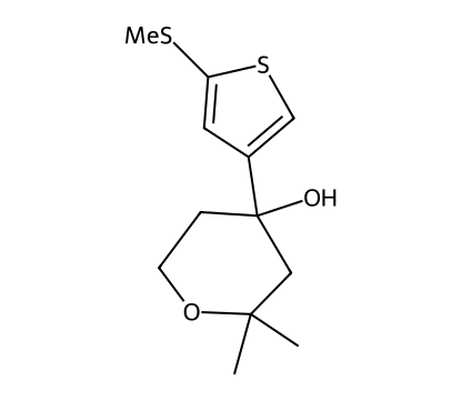 CSc1cc(C2(O)CCOC(C)(C)C2)cs1